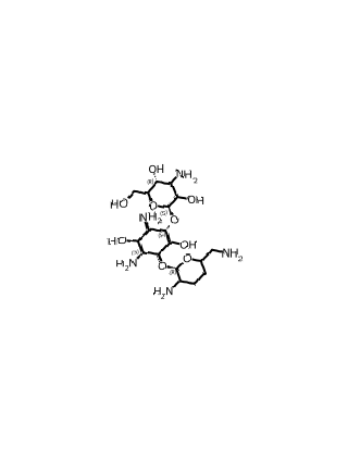 NCC1CCC(N)[C@@H](OC2C(O)[C@@H](O[C@H]3OC(CO)[C@H](O)C(N)C3O)C(N)C(O)[C@@H]2N)O1